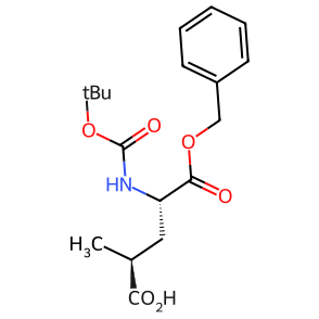 C[C@@H](C[C@H](NC(=O)OC(C)(C)C)C(=O)OCc1ccccc1)C(=O)O